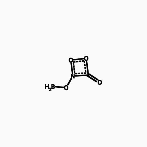 BOn1ooc1=O